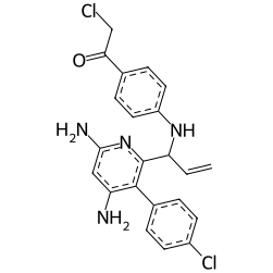 C=CC(Nc1ccc(C(=O)CCl)cc1)c1nc(N)cc(N)c1-c1ccc(Cl)cc1